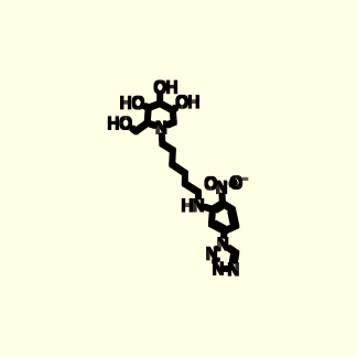 O=[N+]([O-])c1ccc(-n2cnnn2)cc1NCCCCCCN1CC(O)C(O)C(O)C1CO